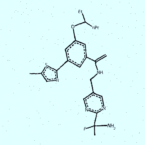 C=C(NCc1cnc(C(C)(N)F)nc1)c1cc(OC(CC)CCC)cc(-c2ncc(C)s2)c1